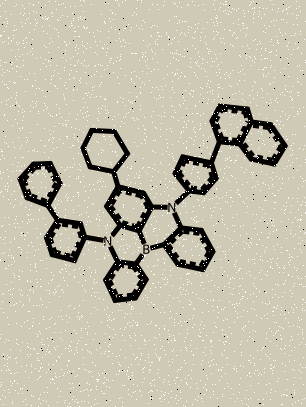 c1ccc(-c2cccc(N3c4ccccc4B4c5ccccc5N(c5ccc(-c6cccc7ccccc67)cc5)c5cc(C6CCCCC6)cc3c54)c2)cc1